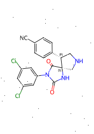 N#Cc1ccc([C@@H]2CNC[C@@]23NC(=O)N(c2cc(Cl)cc(Cl)c2)C3=O)cc1